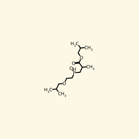 CC(C)COCC[PH](=O)CC(C)C(=O)OCC(C)C